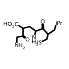 CC(C)CC(CS)C(=O)C(N)CC(C(=O)O)C(=O)CN